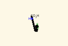 Cc1ccc(CC(CCCCCCCCNCCC(=O)O)c2cc(F)cc(F)c2)cc1C